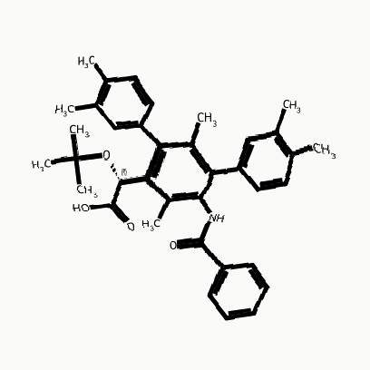 Cc1ccc(-c2c(C)c(-c3ccc(C)c(C)c3)c([C@@H](OC(C)(C)C)C(=O)O)c(C)c2NC(=O)c2ccccc2)cc1C